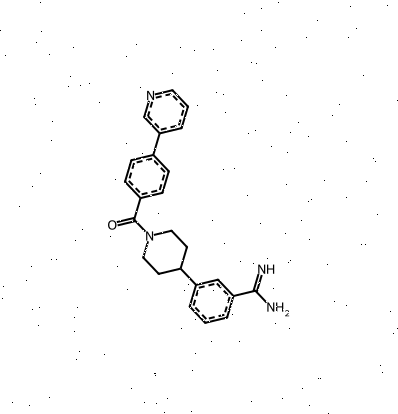 N=C(N)c1cccc(C2CCN(C(=O)c3ccc(-c4cccnc4)cc3)CC2)c1